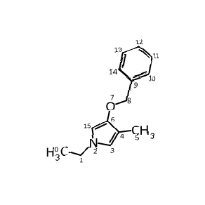 CCn1cc(C)c(OCc2ccccc2)c1